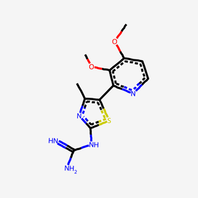 COc1ccnc(-c2sc(NC(=N)N)nc2C)c1OC